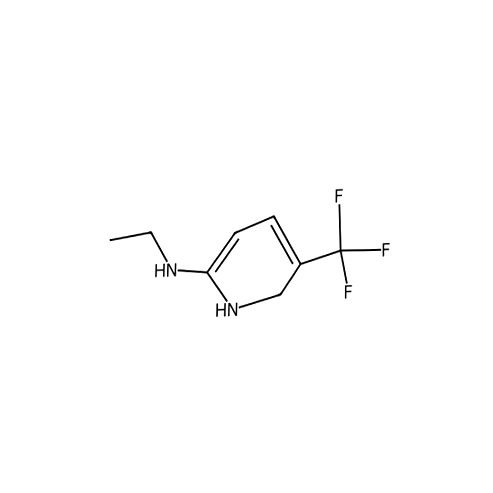 CCNC1=CC=C(C(F)(F)F)CN1